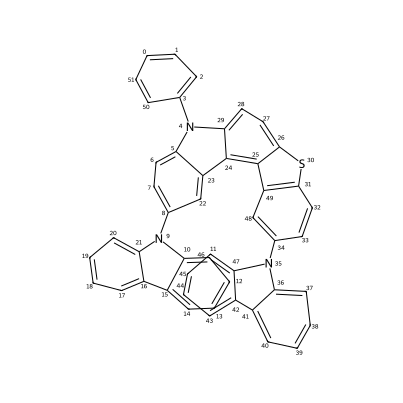 c1ccc(-n2c3ccc(-n4c5ccccc5c5ccccc54)cc3c3c4c(ccc32)sc2ccc(-n3c5ccccc5c5ccccc53)cc24)cc1